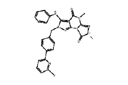 C[C@H]1N=C2N(C)C(=O)c3c(nn(Cc4ccc(-c5cccc(F)n5)cc4)c3Nc3ccccc3)N2C1=O